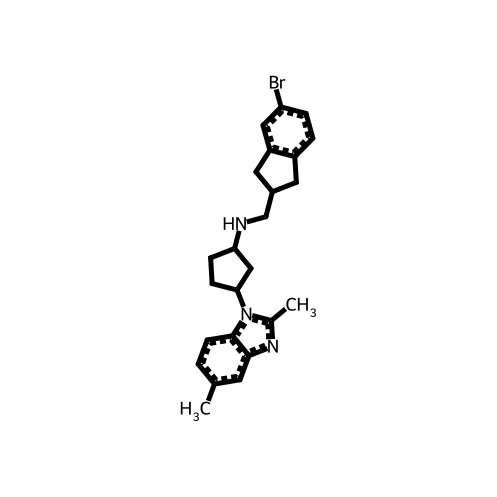 Cc1ccc2c(c1)nc(C)n2C1CCC(NCC2Cc3ccc(Br)cc3C2)C1